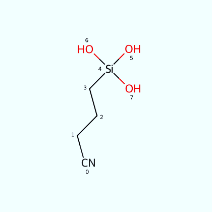 N#CCCC[Si](O)(O)O